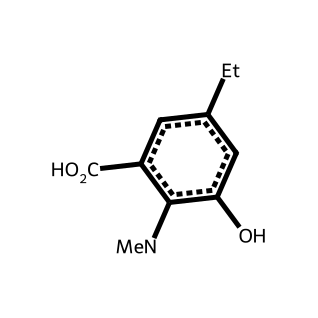 CCc1cc(O)c(NC)c(C(=O)O)c1